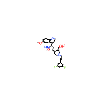 CON[C@H](CC[C@@H]1CCN(CC#Cc2cc(F)cc(F)c2)C[C@@H]1CO)c1ccnc2ccc(OC)cc12